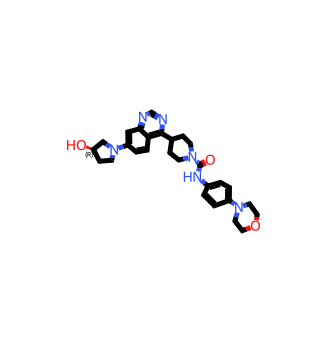 O=C(Nc1ccc(N2CCOCC2)cc1)N1CCC(c2ncnc3cc(N4CC[C@@H](O)C4)ccc23)CC1